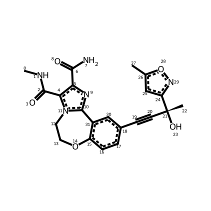 CNC(=O)c1c(C(N)=O)nc2n1CCOc1ccc(C#C[C@@](C)(O)c3cc(C)on3)cc1-2